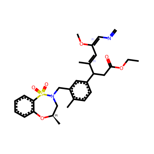 C=N/C=C(\C=C(/C)C(CC(=O)OCC)c1ccc(C)c(CN2C[C@@H](C)Oc3ccccc3S2(=O)=O)c1)OC